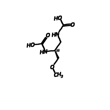 COC[C@H](CNC(=O)O)NC(=O)O